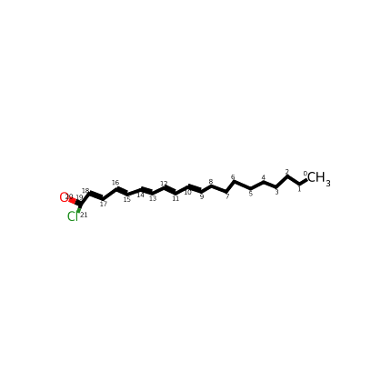 CCCCCCCCCC=CC=CC=CC=CC=CC(=O)Cl